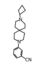 N#Cc1cccc(N2CCC3(CC2)CCN(C2CCC2)CC3)c1